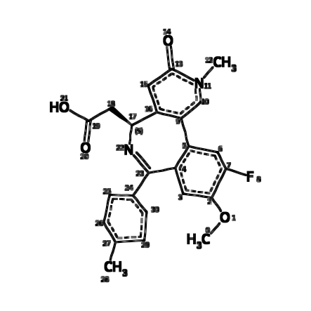 COc1cc2c(cc1F)-c1cn(C)c(=O)cc1[C@H](CC(=O)O)N=C2c1ccc(C)cc1